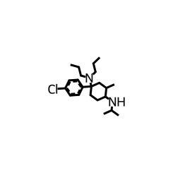 CCCN(CCC)C1(c2ccc(Cl)cc2)CCC(NC(C)C)C(C)C1